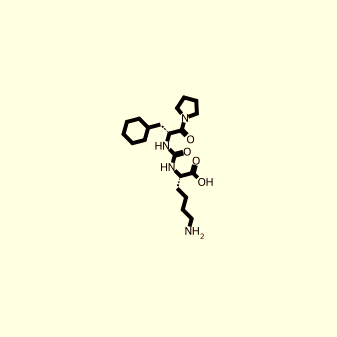 NCCCC[C@H](NC(=O)N[C@H](CC1CCCCC1)C(=O)N1CCCC1)C(=O)O